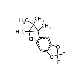 CC1(C)C(C)(C)C1(C)c1ccc2c(c1)OC(F)(F)O2